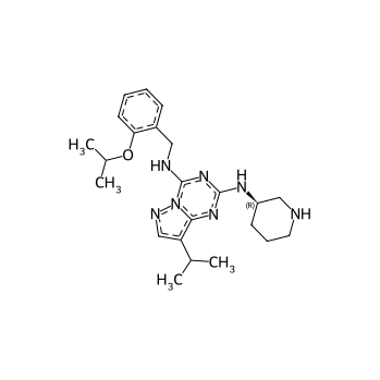 CC(C)Oc1ccccc1CNc1nc(N[C@@H]2CCCNC2)nc2c(C(C)C)cnn12